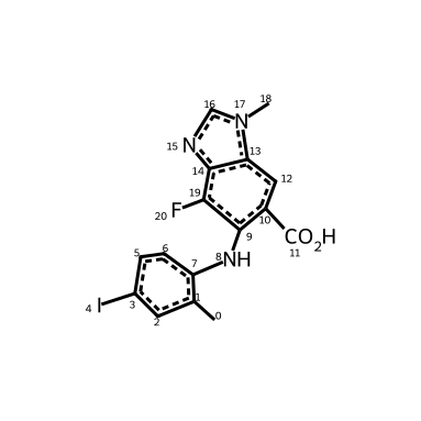 Cc1cc(I)ccc1Nc1c(C(=O)O)cc2c(ncn2C)c1F